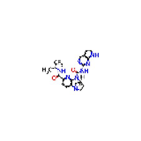 CC(NC(=O)c1ccc2c(n1)N(C(=O)Nc1ncc3cc[nH]c3n1)[C@H]1CCN2C1)C(F)(F)F